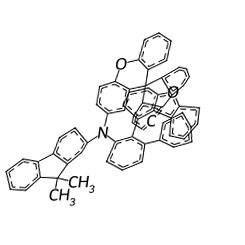 CC1(C)c2ccccc2-c2ccc(N(c3ccc4c(c3)C3(c5ccccc5O4)c4ccccc4-c4ccccc43)c3cccc(-c4ccccc4)c3-c3cccc4oc5ccccc5c34)cc21